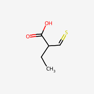 CCC(C=S)C(=O)O